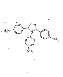 Nc1ccc(C2CCC(c3ccc(N)cc3)N2c2ccc([SiH3])cc2)cc1